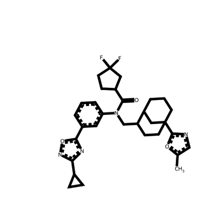 Cc1cnc(C23CCCC(C2)C(CN(C(=O)C2CCC(F)(F)C2)c2cccc(-c4nc(C5CC5)no4)c2)CC3)o1